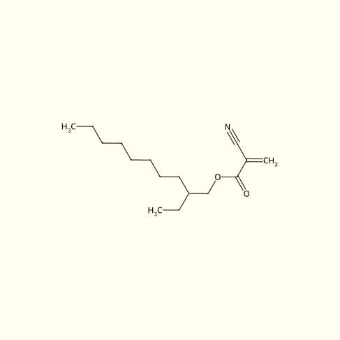 C=C(C#N)C(=O)OCC(CC)CCCCCCCC